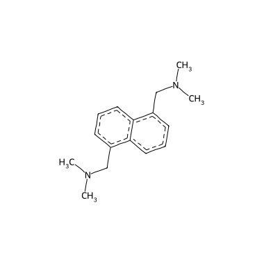 CN(C)Cc1cccc2c(CN(C)C)cccc12